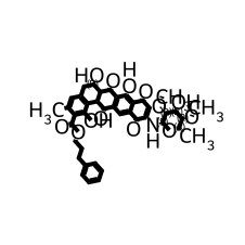 CO[C@@H]1[C@@H](O)[C@@H](OC)[C@@H](NC2=CC(=O)c3c(cc4c(c3O)C(=O)C3C(C4=O)c4c(cc(C)c(C(=O)OCCCc5ccccc5)c4O)C[C@H]3O)C2=O)O[C@H]1C